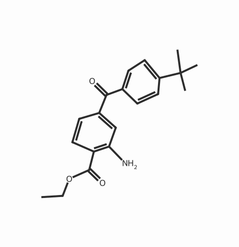 CCOC(=O)c1ccc(C(=O)c2ccc(C(C)(C)C)cc2)cc1N